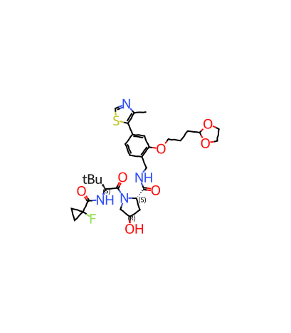 Cc1ncsc1-c1ccc(CNC(=O)[C@@H]2C[C@@H](O)CN2C(=O)[C@@H](NC(=O)C2(F)CC2)C(C)(C)C)c(OCCCC2OCCO2)c1